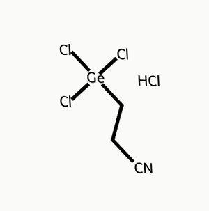 Cl.N#CC[CH2][Ge]([Cl])([Cl])[Cl]